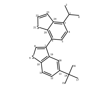 CC(C)c1ccc(-c2csc3ccc(C(C)(C)C)cc23)c2sccc12